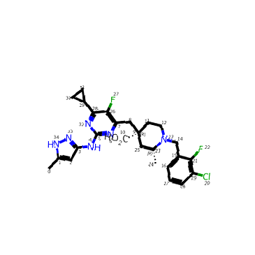 Cc1cc(Nc2nc(C[C@@]3(C(=O)O)CCN(Cc4cccc(Cl)c4F)[C@H](C)C3)c(F)c(C3CC3)n2)n[nH]1